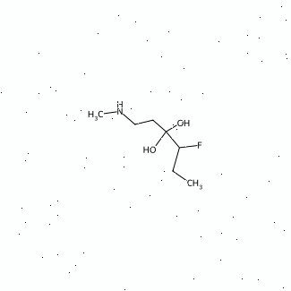 CCC(F)C(O)(O)CCNC